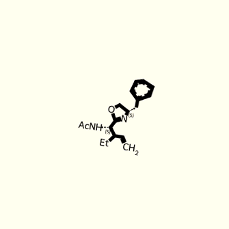 C=CC(CC)[C@H](NC(C)=O)C1=N[C@@H](Cc2ccccc2)CO1